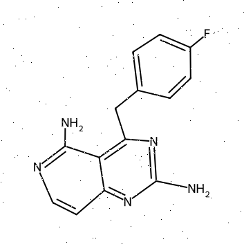 Nc1nc(Cc2ccc(F)cc2)c2c(N)nccc2n1